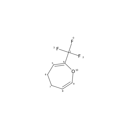 FC(F)(F)C1=CCCC=CO1